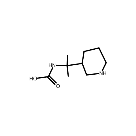 CC(C)(NC(=O)O)C1CCCNC1